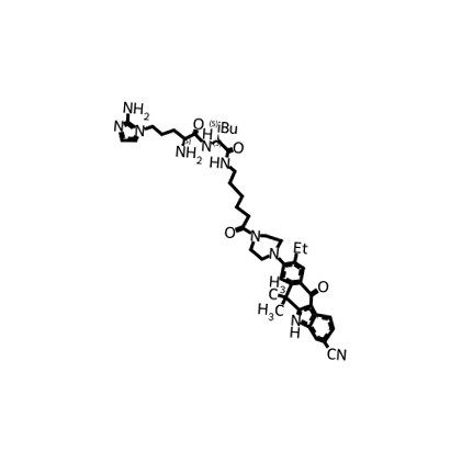 CCc1cc2c(cc1N1CCN(C(=O)CCCCCNC(=O)[C@@H](NC(=O)[C@@H](N)CCCn3ccnc3N)[C@@H](C)CC)CC1)C(C)(C)c1[nH]c3cc(C#N)ccc3c1C2=O